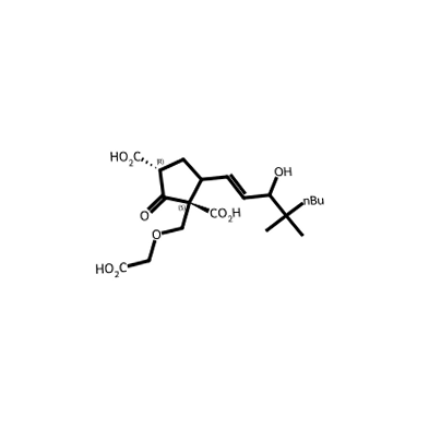 CCCCC(C)(C)C(O)C=CC1C[C@@H](C(=O)O)C(=O)[C@]1(COCC(=O)O)C(=O)O